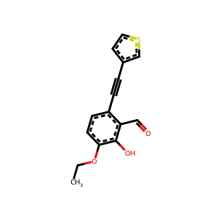 CCOc1ccc(C#Cc2ccsc2)c(C=O)c1O